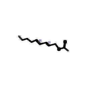 CCCC/C=C/C=C/COC(C)=O